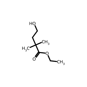 CCOC(=O)C(C)(C)CCO